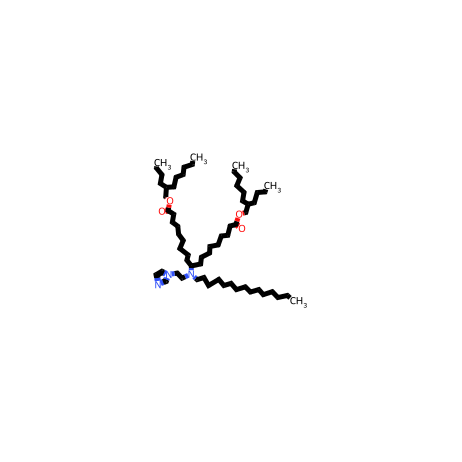 CCCCCCCCCCCCCCCN(CCn1ccnc1)C(CCCCCCCCC(=O)OCC(CCCC)CCCCCC)CCCCCCCCC(=O)OCC(CCCC)CCCCCC